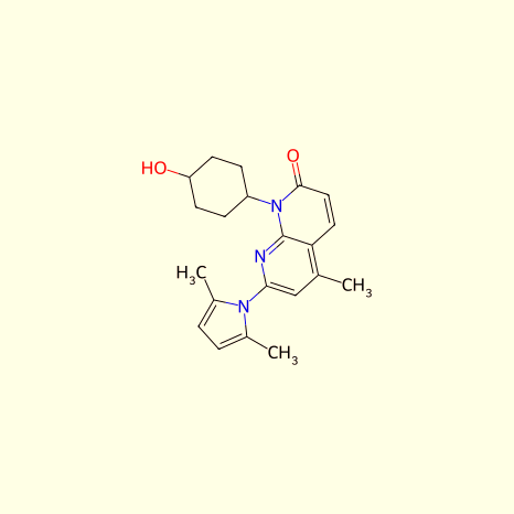 Cc1cc(-n2c(C)ccc2C)nc2c1ccc(=O)n2C1CCC(O)CC1